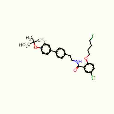 CC(C)(Oc1ccc(-c2ccc(CCNC(=O)c3cc(Cl)ccc3OCCCCF)cc2)cc1)C(=O)O